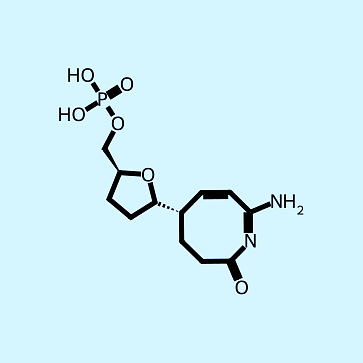 NC1=N/C(=O)CC[C@H](C2CC[C@@H](COP(=O)(O)O)O2)/C=C\1